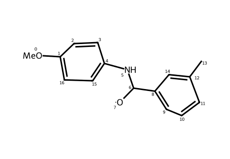 COc1ccc(NC([O])c2cccc(C)c2)cc1